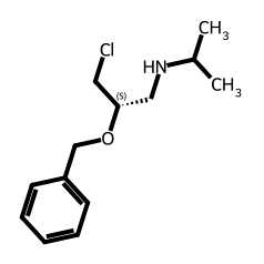 CC(C)NC[C@@H](CCl)OCc1ccccc1